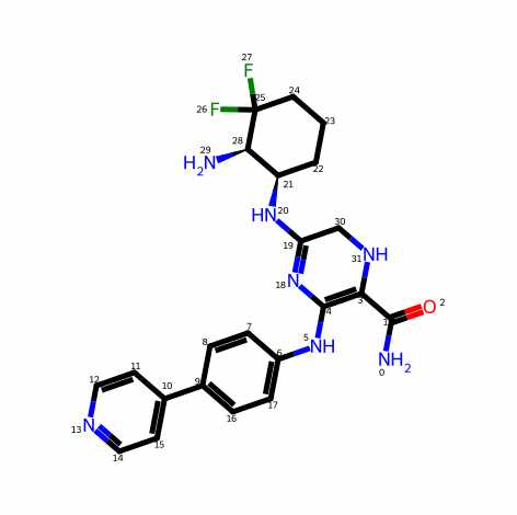 NC(=O)C1=C(Nc2ccc(-c3ccncc3)cc2)N=C(N[C@@H]2CCCC(F)(F)[C@@H]2N)CN1